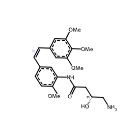 COc1ccc(/C=C\c2cc(OC)c(OC)c(OC)c2)cc1NC(=O)C[C@@H](O)CN